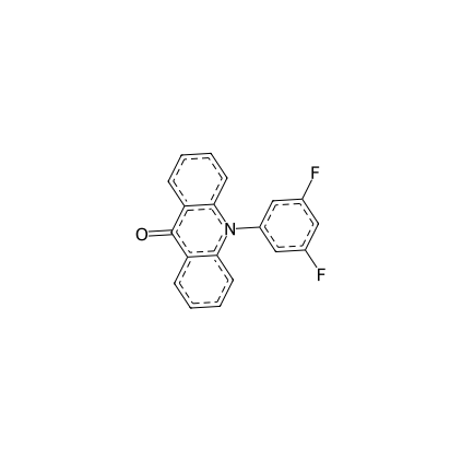 O=c1c2ccccc2n(-c2cc(F)cc(F)c2)c2ccccc12